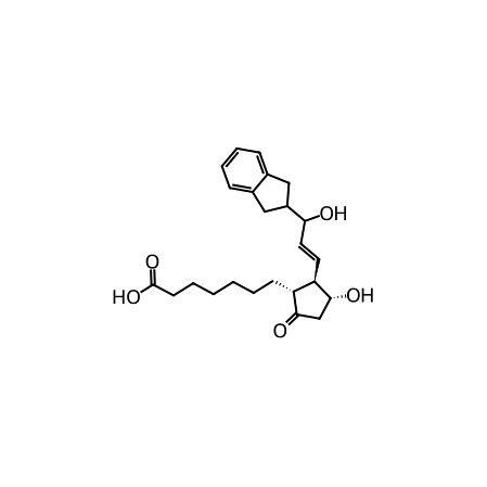 O=C(O)CCCCCC[C@H]1C(=O)C[C@@H](O)[C@@H]1C=CC(O)C1Cc2ccccc2C1